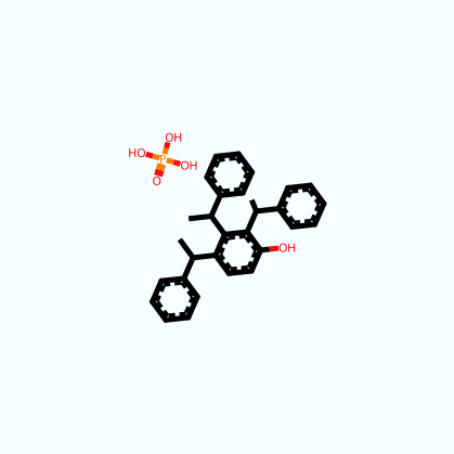 CC(c1ccccc1)c1ccc(O)c(C(C)c2ccccc2)c1C(C)c1ccccc1.O=P(O)(O)O